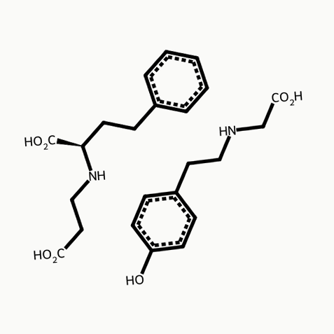 O=C(O)CCN[C@H](CCc1ccccc1)C(=O)O.O=C(O)CNCCc1ccc(O)cc1